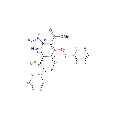 COC(=O)c1c(OCc2ccccc2)c2ccc(-c3ccccc3)c(Cl)c2c2ncnn12